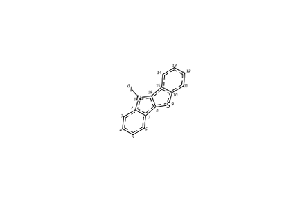 In1c2ccccc2c2sc3ccccc3c21